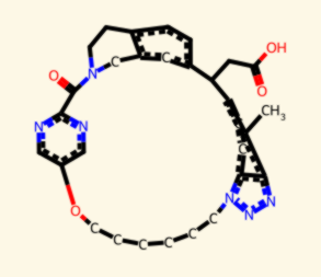 Cc1c2ccc3c1nnn3CCCCCCOc1cnc(nc1)C(=O)N1CCc3ccc(cc3C1)C2CC(=O)O